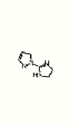 C1=C[N]N(C2=NCCN2)C1